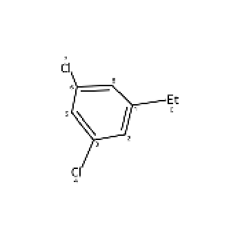 [CH2]Cc1cc(Cl)cc(Cl)c1